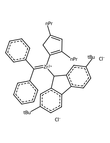 CCCC1=CC(CCC)=[C]([Zr+2](=[C](c2ccccc2)c2ccccc2)[CH]2c3cc(C(C)(C)C)ccc3-c3ccc(C(C)(C)C)cc32)C1.[Cl-].[Cl-]